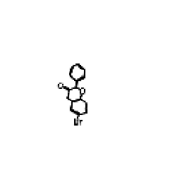 O=C1Cc2cc(Br)ccc2OC1c1ccccc1